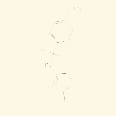 [2H]C([2H])(Nc1scc(C)c1C)c1ccc(OC)cc1